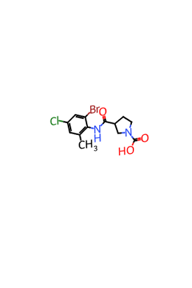 Cc1cc(Cl)cc(Br)c1NC(=O)C1CCN(C(=O)O)C1